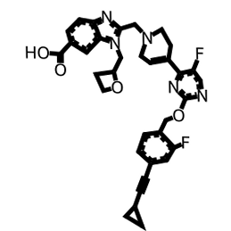 O=C(O)c1ccc2nc(CN3CC=C(c4nc(OCc5ccc(C#CC6CC6)cc5F)ncc4F)CC3)n(CC3CCO3)c2c1